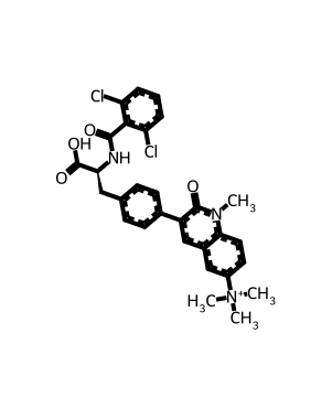 Cn1c(=O)c(-c2ccc(C[C@H](NC(=O)c3c(Cl)cccc3Cl)C(=O)O)cc2)cc2cc([N+](C)(C)C)ccc21